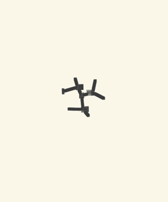 C[SH](C)N([SH](C)C)[SH](C)I